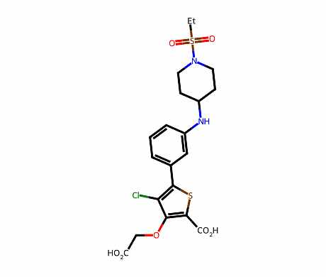 CCS(=O)(=O)N1CCC(Nc2cccc(-c3sc(C(=O)O)c(OCC(=O)O)c3Cl)c2)CC1